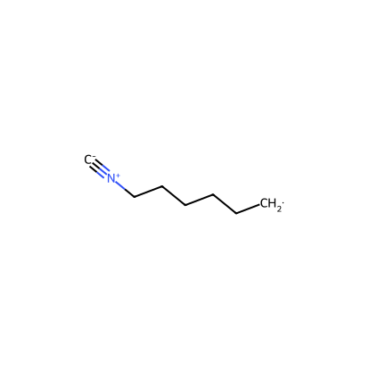 [C-]#[N+]CCCCC[CH2]